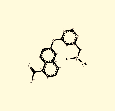 CN(C)Cc1cc(Oc2ccc3c(C(=O)O)cccc3c2)ncn1